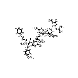 C=C1C[C@@H](CC2(C)O[C@H](C[C@H](CC(=O)SC(C)(C)C)OB(P)S)C[C@H](OC(C)=O)C2(C)C)O[C@@H](/C=C/C(C)(C)[C@]2(OC)O[C@H](C[C@@H](OCc3ccc(OC)cc3)[C@@H](C)OCOCc3ccccc3)CCC2=O)C1